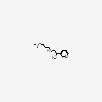 CCCCNCC(O)c1cccnc1